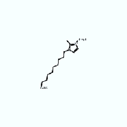 CCCCCCCCCCCCCCCCCCCn1cc[n+](CCCCCCC)c1C